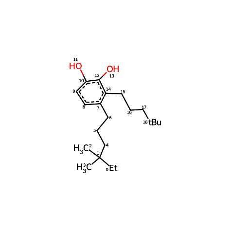 CCC(C)(C)CCCc1ccc(O)c(O)c1CCCC(C)(C)C